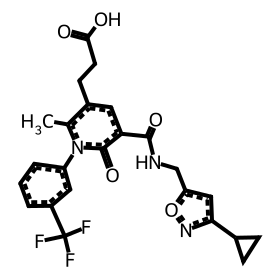 Cc1c(CCC(=O)O)cc(C(=O)NCc2cc(C3CC3)no2)c(=O)n1-c1cccc(C(F)(F)F)c1